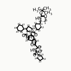 CC(C)(C)OC(=O)N[C@H](CF)[C@H]1CC[C@H](C(=O)[N+]2(c3ccc4oc(C(=O)NS(=O)(=O)N5CCCC5)cc4c3)CC[C@@H](C3CCCCC3)[C@H]2C(N)=O)CC1